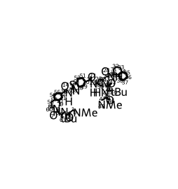 CNCC(=O)NC(C(=O)N1Cc2cc(C(=O)Nc3nc4cc(C(=O)N[C@H]5C[C@@H](C(=O)N[C@@H]6CCCc7ccccc76)N(C(=O)[C@@H](NC(=O)CNC)C(C)(C)C)C5)ccc4s3)ccc2C[C@H]1C)C(C)(C)C